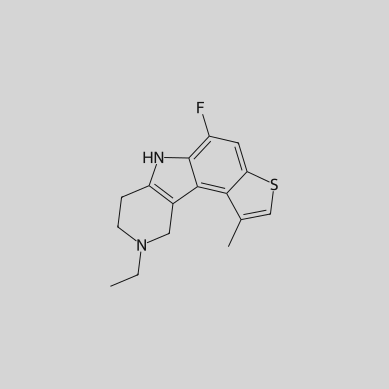 CCN1CCc2[nH]c3c(F)cc4scc(C)c4c3c2C1